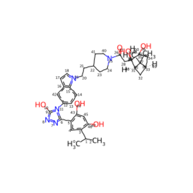 CC(C)c1cc(-c2nnc(O)n2-c2ccc3c(ccn3CCC3CCN(C(=O)C[C@@]4(O)[C@@H]5C[C@H](C[C@@H]4O)C5(C)C)CC3)c2)c(O)cc1O